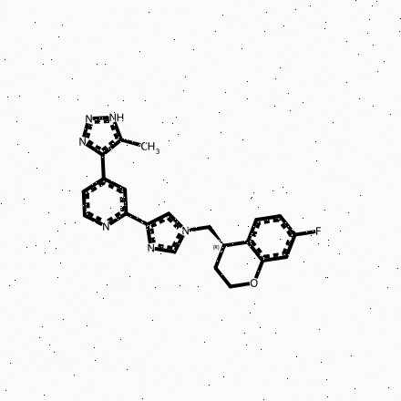 Cc1[nH]nnc1-c1ccnc(-c2cn(C[C@@H]3CCOc4cc(F)ccc43)cn2)c1